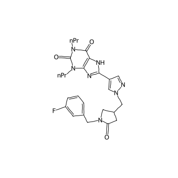 CCCn1c(=O)c2[nH]c(-c3cnn(CC4CC(=O)N(Cc5cccc(F)c5)C4)c3)nc2n(CCC)c1=O